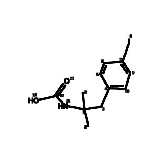 CC(C)(Cc1ccc(I)cc1)NC(=O)O